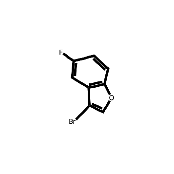 Fc1ccc2occ(Br)c2c1